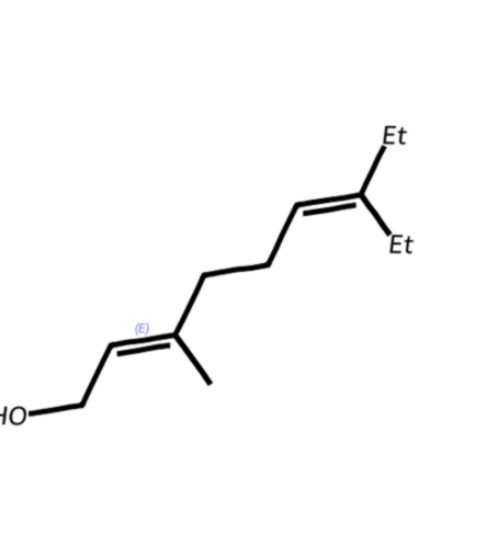 CCC(=CCC/C(C)=C/CO)CC